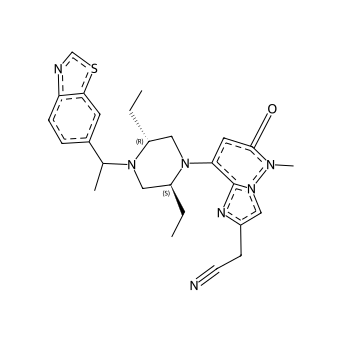 CC[C@H]1CN(C(C)c2ccc3ncsc3c2)[C@H](CC)CN1c1cc(=O)n(C)n2cc(CC#N)nc12